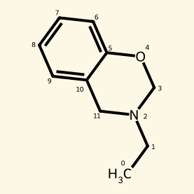 CCN1COc2ccccc2C1